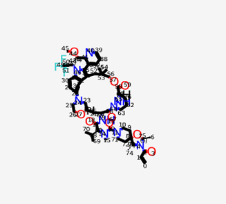 C=CC(=O)N1[C@H](C)OC2(CCN(C(=O)N(C)[C@H](C(=O)N[C@H]3C[C@H]4CN(CCO4)c4ccc5c(c4)c(c(-c4cccnc4[C@H](C)OC)n5CC(F)(F)F)CC(C)(C)COC(=O)[C@@H]4CCCN(N4)C3=O)C(C)C)CC2)[C@H]1C